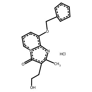 Cc1nc2c(OCc3ccccc3)cccn2c(=O)c1CCO.Cl